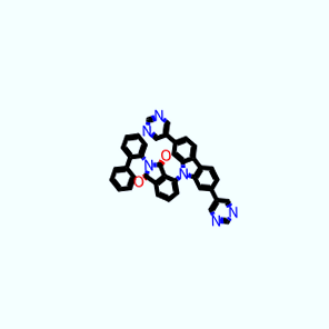 O=C1c2cccc(-n3c4cc(-c5cncnc5)ccc4c4ccc(-c5cncnc5)cc43)c2C(=O)N1c1ccccc1-c1ccccc1